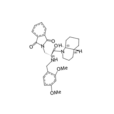 COc1ccc(CN[C@H](CN2C(=O)c3ccccc3C2=O)C(=O)N2CCC[C@H]3CCCC[C@@H]32)c(OC)c1